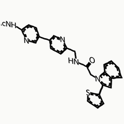 CC(=O)Nc1ccc(-c2ccc(CNC(=O)Cn3c(-c4cccs4)cc4ccccc43)nc2)cn1